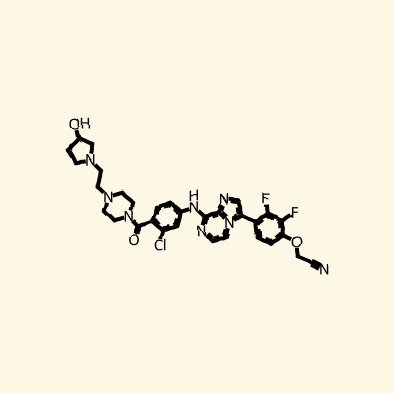 N#CCOc1ccc(-c2cnc3c(Nc4ccc(C(=O)N5CCN(CCN6CCC(O)C6)CC5)c(Cl)c4)nccn23)c(F)c1F